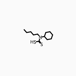 CCCCCN(C(=S)S)C1CCCCC1